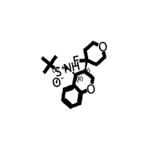 CC(C)(C)[S@@+]([O-])N[C@H]1c2ccccc2OC[C@@H]1C1(F)CCOCC1